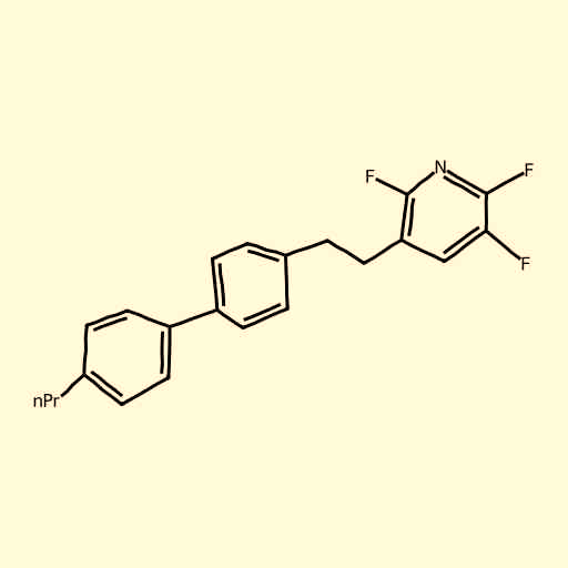 CCCc1ccc(-c2ccc(CCc3cc(F)c(F)nc3F)cc2)cc1